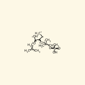 C=C(CC)C(=O)O.CN(C)C.CN(C)C.CS(=O)(=O)O